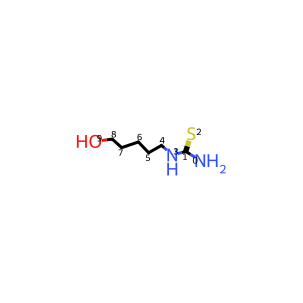 NC(=S)NCCCCCO